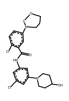 O=C(Nc1cc(Cl)cc(N2CCC(O)CC2)c1)c1cc(N2CCCOS2)ccc1Cl